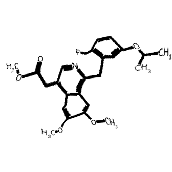 COC(=O)Cc1cnc(Cc2cc(OC(C)C)ccc2F)c2cc(OC)c(OC)cc12